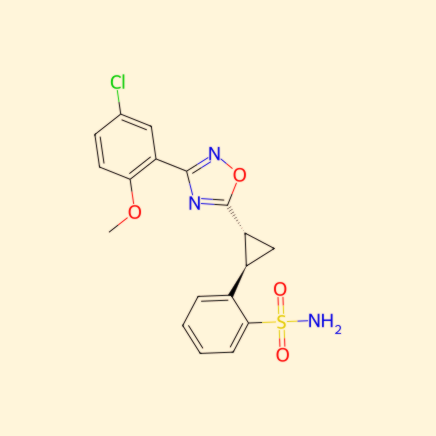 COc1ccc(Cl)cc1-c1noc([C@@H]2C[C@H]2c2ccccc2S(N)(=O)=O)n1